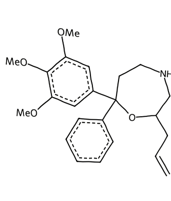 C=CCC1CNCCC(c2ccccc2)(c2cc(OC)c(OC)c(OC)c2)O1